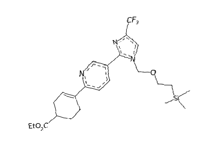 CCOC(=O)C1CC=C(c2ccc(-c3nc(C(F)(F)F)cn3COCC[Si](C)(C)C)cn2)CC1